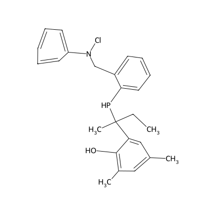 CCC(C)(Pc1ccccc1CN(Cl)c1ccccc1)c1cc(C)cc(C)c1O